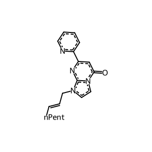 CCCCCC=CCn1ccn2c(=O)cc(-c3ccccn3)nc12